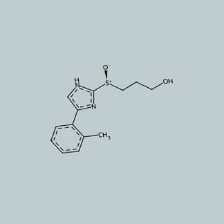 Cc1ccccc1-c1c[nH]c([S@@+]([O-])CCCO)n1